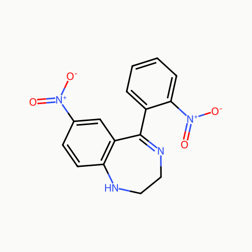 O=[N+]([O-])c1ccc2c(c1)C(c1ccccc1[N+](=O)[O-])=NCCN2